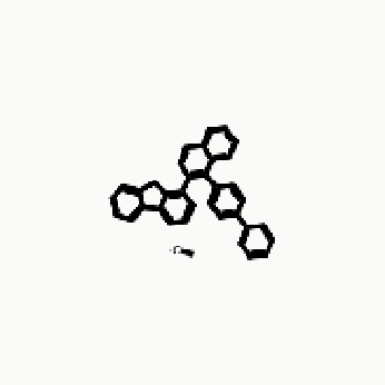 C[O].c1ccc(-c2ccc(-c3c(-c4cccc5c4Cc4ccccc4-5)ccc4ccccc34)cc2)cc1